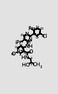 CC(O)CNC(=O)c1c[n+]([O-])ccc1Nc1nc(-c2cc(Cl)ccc2F)ncc1C(C)C